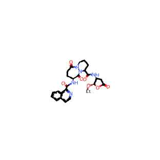 CCO[C@@H]1OC(=O)C[C@@H]1NC(=O)C1CCCN2C(=O)CC[C@H](NC(=O)c3nccc4ccccc34)C(=O)N12